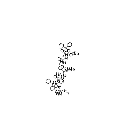 CO/N=C(/C(=O)N[C@@H]1C(=O)N2C(C(=O)OC(c3ccccc3)c3ccccc3)=C(CSc3nnnn3C)CS[C@H]12)c1ccc(CNC(=O)OCC(NC(=O)OC(C)(C)C)C(=O)OC(c2ccccc2)c2ccccc2)o1